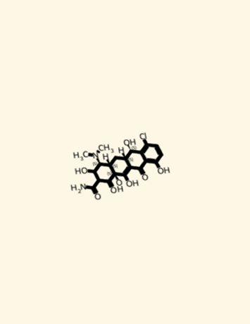 CN(C)[C@@H]1C(O)C(C(N)=O)C(=O)[C@@]2(O)C(O)=C3C(=O)c4c(O)ccc(Cl)c4[C@@H](O)[C@H]3C[C@@H]12